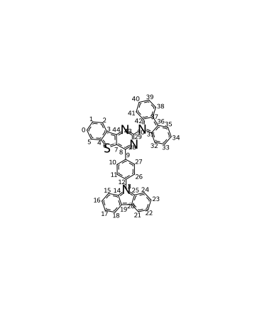 c1ccc2c(c1)sc1c(-c3ccc(-n4c5ccccc5c5ccccc54)cc3)nc(-n3c4ccccc4c4ccccc43)nc12